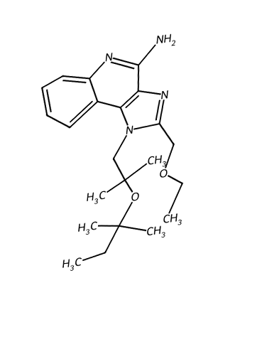 CCOCc1nc2c(N)nc3ccccc3c2n1CC(C)(C)OC(C)(C)CC